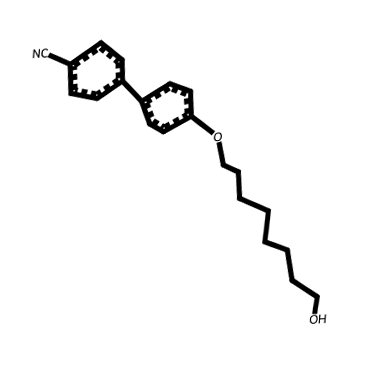 N#Cc1ccc(-c2ccc(OCCCCCCCCO)cc2)cc1